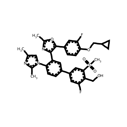 Cc1cn(-c2ccc(-c3cc(F)c(CO)c(S(C)(=O)=O)c3)cc2-c2nc(C)oc2-c2ccc(OCC3CC3)c(F)c2)c(C)n1